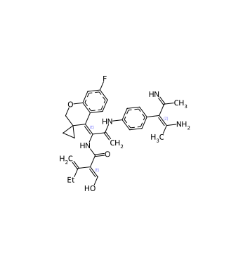 C=C(CC)/C(=C\O)C(=O)N/C(C(=C)Nc1ccc(/C(C(C)=N)=C(\C)N)cc1)=C1/c2ccc(F)cc2OCC12CC2